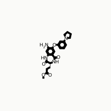 COC(=O)CC[C@H]1NC(=O)c2cc(Oc3cccc(N4CCCC4)c3)c(N)cc2NC1=O